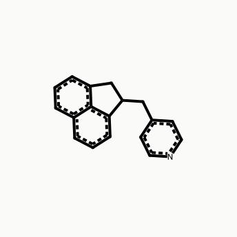 c1cc2c3c(cccc3c1)C(Cc1ccncc1)C2